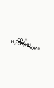 COCCCNCCCCC(C)(C)C(=O)O